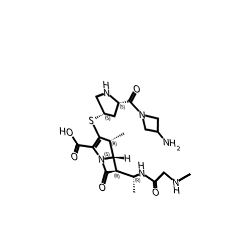 CNCC(=O)N[C@H](C)[C@H]1C(=O)N2C(C(=O)O)=C(S[C@@H]3CN[C@H](C(=O)N4CC(N)C4)C3)[C@H](C)[C@H]12